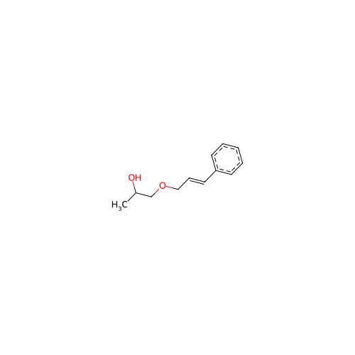 CC(O)COCC=Cc1ccccc1